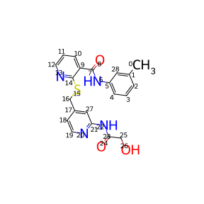 Cc1cccc(NC(=O)c2cccnc2SCc2ccnc(NC(=O)CO)c2)c1